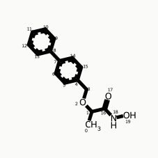 CC(OCc1ccc(-c2ccccc2)cc1)C(=O)NO